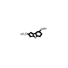 COc1ccc2c(c1)C1=CC(C(=O)O)=CC1=N2